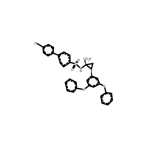 O=C(O)[C@@]1(NS(=O)(=O)c2ccc(-c3ccc(Cl)cc3)cc2)C[C@H]1c1cc(Oc2ccccc2)cc(Oc2ccccc2)c1